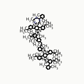 C=C1/C=C\C(c2c(C)cccc2C)=C/Cn2/c(n3c4ccc(C(C)(C)C)cc4c4c3c2c2c3cc(C(C)(C)C)ccc3n3c2c4n2c4cc(C(C)(C)C)cc(-c5c(C)cc(CC(C)(C)c6cccc7c6nc6n7c7c8c9cc(C(C)(C)C)ccc9n9c8c(c8c%10cc(C(C)(C)C)ccc%10n6c87)n6c7cc(C(C)(C)C)cc(-c8c(C)cccc8C)c7nc69)cc5C)c4nc23)=N\1